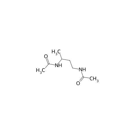 CC(=O)NCCC(C)NC(C)=O